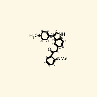 CNc1ccccc1C(=O)Cc1ccc2[nH]cc(C3=CCN(C)CC3)c2c1